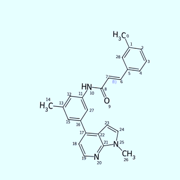 Cc1cccc(/C=C/C(=O)Nc2cc(C)cc(-c3ccnc4c3ccn4C)c2)c1